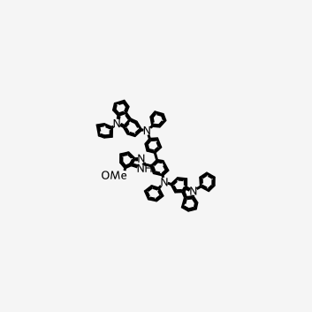 COc1cccc2nc(-c3cc(N(c4ccccc4)c4ccc5c(c4)c4ccccc4n5-c4ccccc4)ccc3-c3ccc(N(c4ccccc4)c4ccc5c(c4)c4ccccc4n5-c4ccccc4)cc3)[nH]c12